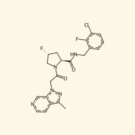 Cc1nn(CC(=O)N2C[C@H](F)C[C@H]2C(=O)NCc2cccc(Cl)c2F)c2cnccc12